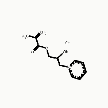 C=C(C)C(=O)OCC(O)C[n+]1ccccc1.[Cl-]